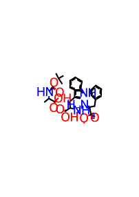 CC(NC(=O)OC(C)(C)C)C(=O)O.COC(=O)C(N)Cc1ccccc1.NC(Cc1c[nH]c2ccccc12)C(=O)O